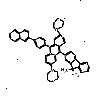 CC1(C)c2ccccc2-c2ccc(-c3c4ccc(N5CCCCC5)cc4c(-c4ccc(-c5ccc6ccccc6c5)cc4)c4ccc(N5CCCCC5)cc34)cc21